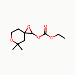 CCOC(=O)OC1OC12CCOC(C)(C)C2